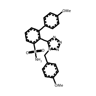 COc1ccc(Cn2nnnc2-c2c(-c3ccc(OC)cc3)cccc2S(N)(=O)=O)cc1